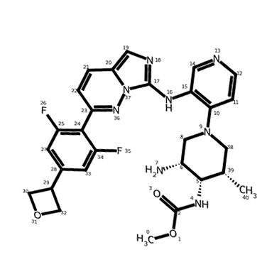 COC(=O)N[C@@H]1[C@H](N)CN(c2ccncc2Nc2ncc3ccc(-c4c(F)cc(C5COC5)cc4F)nn23)C[C@@H]1C